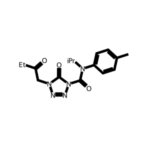 CCC(=O)Cn1nnn(C(=O)N(c2ccc(C)cc2)C(C)C)c1=O